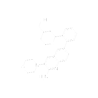 Nc1nc2ccc(-c3ccccc3C3CC(CO)CCO3)cc2cc1N1CCOCC1